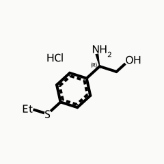 CCSc1ccc([C@@H](N)CO)cc1.Cl